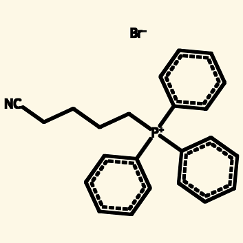 N#CCCCC[P+](c1ccccc1)(c1ccccc1)c1ccccc1.[Br-]